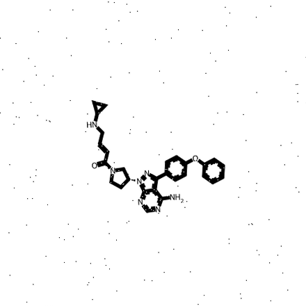 Nc1ncnc2c1c(-c1ccc(Oc3ccccc3)cc1)nn2[C@@H]1CCN(C(=O)/C=C/CNC2CC2)C1